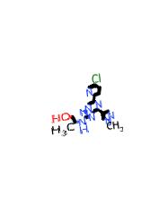 C[C@@H](CO)Nc1nc2c(-c3cnn(C)c3)nc(-c3ccc(Cl)cn3)cn2n1